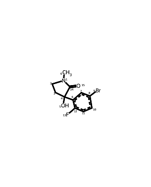 CN1CCC(O)(c2cc(Br)ccc2F)C1=O